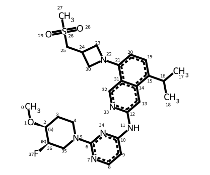 CO[C@H]1CCN(c2nccc(Nc3cc4c(C(C)C)ccc(N5CC(CS(C)(=O)=O)C5)c4cn3)n2)C[C@H]1F